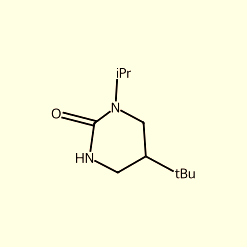 CC(C)N1CC(C(C)(C)C)CNC1=O